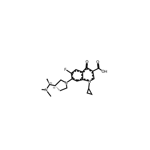 C[C@@H]([C@H]1CCN(c2cc3c(cc2F)c(=O)c(C(=O)O)cn3C2CC2)C1)N(C)C